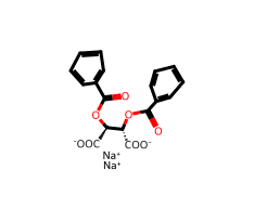 O=C(O[C@H](C(=O)[O-])[C@H](OC(=O)c1ccccc1)C(=O)[O-])c1ccccc1.[Na+].[Na+]